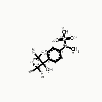 CN(c1ccc(C(O)(C(F)(F)F)C(F)(F)F)cc1)S(C)(=O)=O